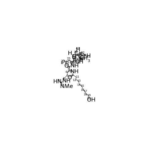 CNC(=N)NCCC[C@H](NC(=O)CCCCCCCCCO)C(=O)N[C@@H](CC(C)C)B1O[C@@H]2C[C@@H]3C[C@@H](C3(C)C)[C@]2(C)O1